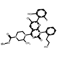 CC1CN(C(=O)OC(C)(C)C)CCN1c1nc(=O)n(-c2ccccc2CCO)c2nc(-c3c(O)cccc3F)c(Cl)cc12